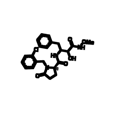 CONC(=O)C(O)C(Cc1ccccc1)NC(=O)[C@H]1CCC(=O)N1Cc1ccccc1Cl